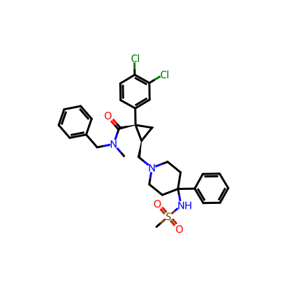 CN(Cc1ccccc1)C(=O)[C@@]1(c2ccc(Cl)c(Cl)c2)C[C@H]1CN1CCC(NS(C)(=O)=O)(c2ccccc2)CC1